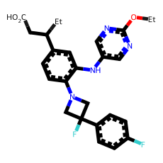 CCOc1ncc(Nc2cc(C(CC)CC(=O)O)ccc2N2CC(F)(c3ccc(F)cc3)C2)cn1